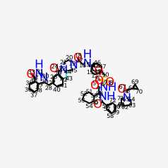 O=C(N[C@H](C(=O)NS(=O)(=O)CC12CCC(NCC(=O)N3CCN(C(=O)c4cc(Cc5n[nH]c(=O)c6ccccc56)ccc4F)CC3)(CC1)CO2)C1CCCCC1)c1cccc([C@H]2CCCN(C(=O)C3CC3)C2)c1